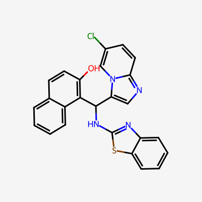 Oc1ccc2ccccc2c1C(Nc1nc2ccccc2s1)c1cnc2ccc(Cl)cn12